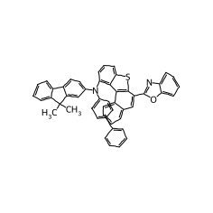 CC1(C)c2ccccc2-c2ccc(N(c3ccc(-c4ccccc4)cc3)c3cccc4sc5c(-c6nc7ccccc7o6)cc6ccccc6c5c34)cc21